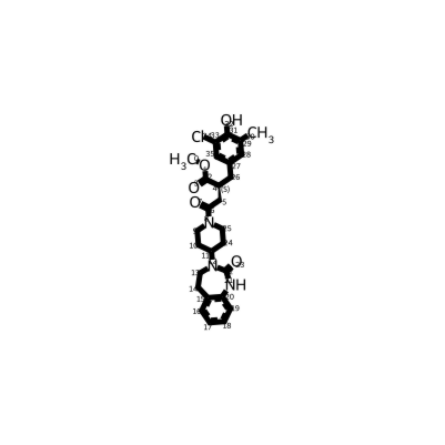 COC(=O)[C@H](CC(=O)N1CCC(N2CCc3ccccc3NC2=O)CC1)Cc1cc(C)c(O)c(Cl)c1